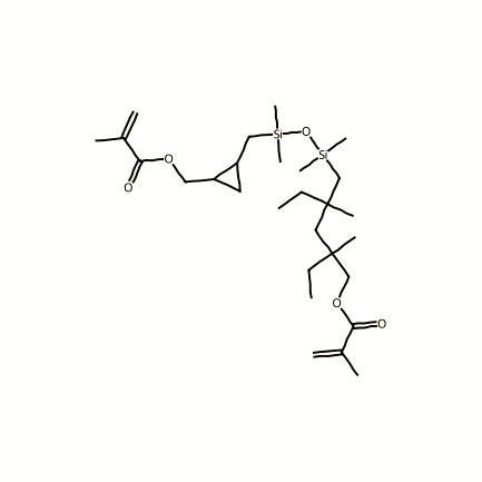 C=C(C)C(=O)OCC1CC1C[Si](C)(C)O[Si](C)(C)CC(C)(CC)CC(C)(CC)COC(=O)C(=C)C